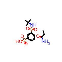 CC(C)(C)NS(=O)(=O)c1cccc(S(=O)(=O)O)c1.CCC(N)=O